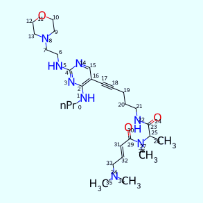 CCCNc1nc(NCCN2CCOCC2)ncc1C#CCCCNC(=O)C(C)N(C)C(=O)/C=C/CN(C)C